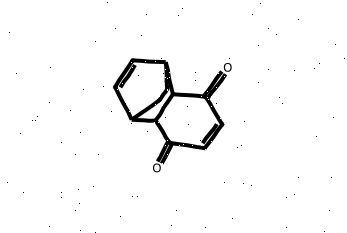 O=C1C=CC(=O)C2C3C=CC(CC3)C12